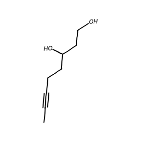 CC#CCCC(O)CCO